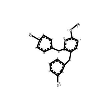 CC(C)Nc1ncc(Cc2cccc(C(F)(F)F)c2)c(Cc2ccc(Cl)cc2)n1